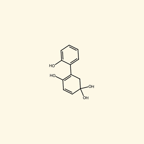 OC1=C(c2ccccc2O)CC(O)(O)C=C1